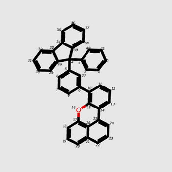 c1ccc(C2(c3cccc(-c4cccc5c4Oc4cccc6cccc-5c46)c3)c3ccccc3-c3ccccc32)cc1